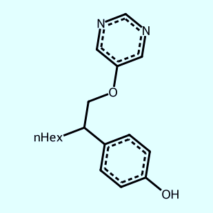 CCCCCCC(COc1cncnc1)c1ccc(O)cc1